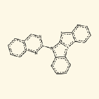 c1ccc2nc(-n3c4ccccc4n4c5ccccc5nc34)ncc2c1